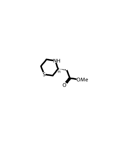 COC(=O)C[C@@H]1CSCCN1